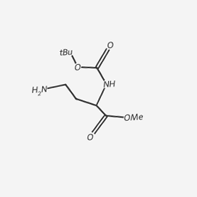 COC(=O)C(CCN)NC(=O)OC(C)(C)C